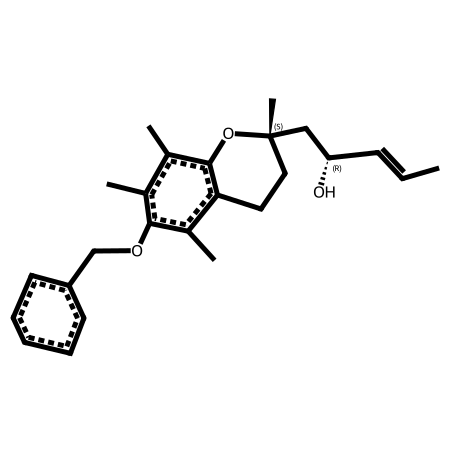 CC=C[C@H](O)C[C@]1(C)CCc2c(C)c(OCc3ccccc3)c(C)c(C)c2O1